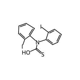 OC(=S)N(c1ccccc1I)c1ccccc1I